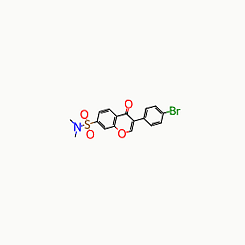 CN(C)S(=O)(=O)c1ccc2c(=O)c(-c3ccc(Br)cc3)coc2c1